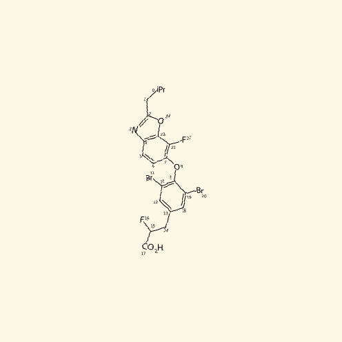 CC(C)Cc1nc2ccc(Oc3c(Br)cc(CC(F)C(=O)O)cc3Br)c(F)c2o1